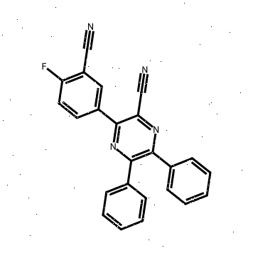 N#Cc1cc(-c2nc(-c3ccccc3)c(-c3ccccc3)nc2C#N)ccc1F